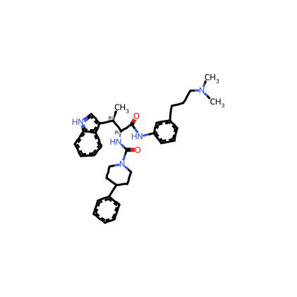 C[C@H](c1c[nH]c2ccccc12)[C@@H](NC(=O)N1CCC(c2ccccc2)CC1)C(=O)Nc1cccc(CCCN(C)C)c1